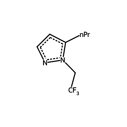 CCCc1ccnn1CC(F)(F)F